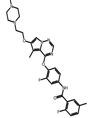 Cc1ccc(F)c(C(=O)Nc2ccc(Oc3ncnn4cc(OCCN5CCN(C)CC5)c(C)c34)c(F)c2)c1